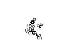 NC(=O)c1c(NC(=O)Nc2ccc(Cl)cc2)sc2c1CCN(CCC(=O)O)C2.O=C(O)C(F)(F)F